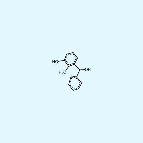 Cc1c(O)cccc1C(O)c1ccccc1